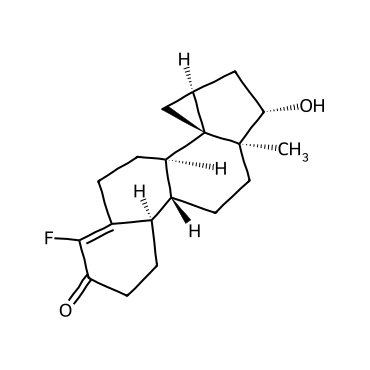 C[C@]12CC[C@H]3[C@@H](CCC4=C(F)C(=O)CC[C@@H]43)[C@@]13C[C@H]3C[C@@H]2O